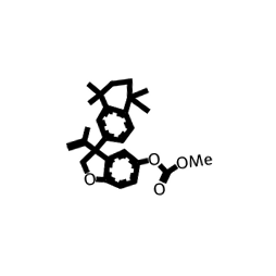 C=C(C)C1(c2ccc3c(c2)C(C)(C)CCC3(C)C)COc2ccc(OC(=O)OC)cc21